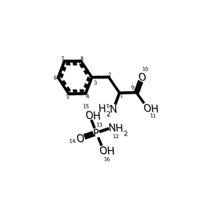 NC(Cc1ccccc1)C(=O)O.NP(=O)(O)O